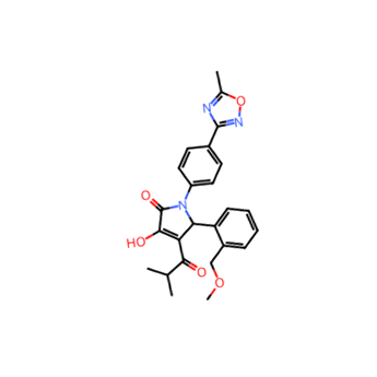 COCc1ccccc1C1C(C(=O)C(C)C)=C(O)C(=O)N1c1ccc(-c2noc(C)n2)cc1